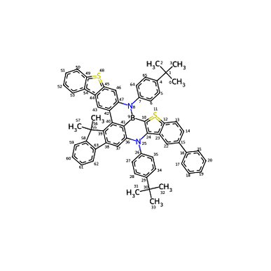 CC(C)(C)c1ccc(N2B3c4sc5ccc(-c6ccccc6)cc5c4N(c4ccc(C(C)(C)C)cc4)c4cc5c(c(c43)-c3cc4c(cc32)sc2ccccc24)C(C)(C)c2ccccc2-5)cc1